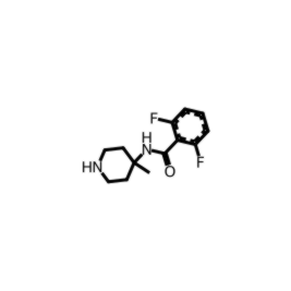 CC1(NC(=O)c2c(F)cccc2F)CCNCC1